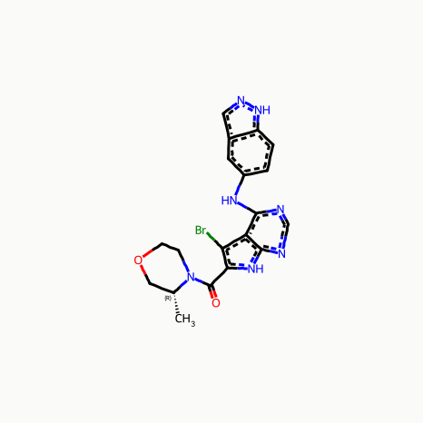 C[C@@H]1COCCN1C(=O)c1[nH]c2ncnc(Nc3ccc4[nH]ncc4c3)c2c1Br